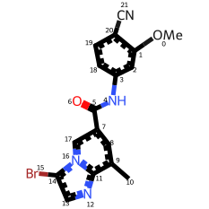 COc1cc(NC(=O)c2cc(C)c3ncc(Br)n3c2)ccc1C#N